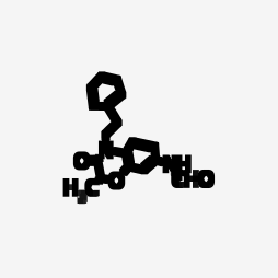 CC1Oc2cc(NC=O)ccc2N(CCc2ccccc2)C1=O